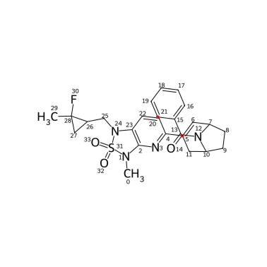 CN1c2nc(C3=CC4CCC(C3)N4C(=O)c3ccccc3)ccc2N(CC2CC2(C)F)S1(=O)=O